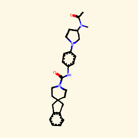 CC(=O)N(C)C1CCN(c2ccc(NC(=O)N3CCC4(CC3)Cc3ccccc3C4)cc2)C1